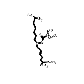 CC(C)CCCCCN(CCCCCC(C)C)SC(=S)[N]([Mo])[Mo]=[S]